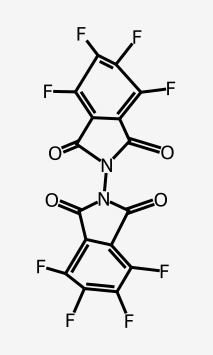 O=C1c2c(F)c(F)c(F)c(F)c2C(=O)N1N1C(=O)c2c(F)c(F)c(F)c(F)c2C1=O